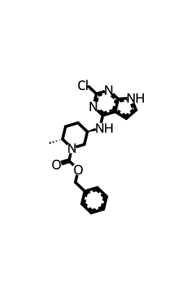 C[C@@H]1CC[C@@H](Nc2nc(Cl)nc3[nH]ccc23)CN1C(=O)OCc1ccccc1